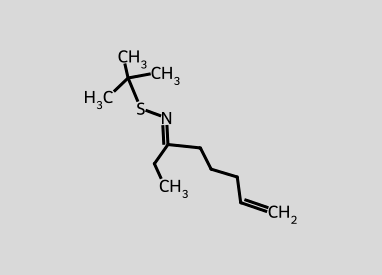 C=CCCC/C(CC)=N/SC(C)(C)C